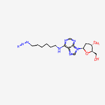 [N-]=[N+]=NCCCCCCNc1ncnc2c1ncn2[C@H]1C[C@H](O)[C@@H](CO)O1